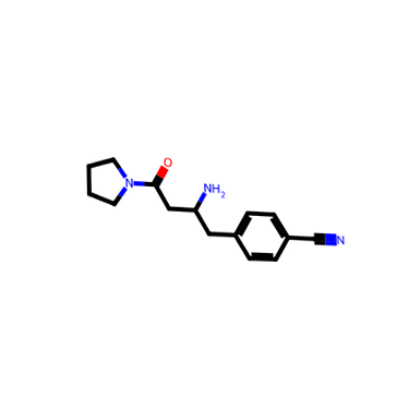 N#Cc1ccc(CC(N)CC(=O)N2CCCC2)cc1